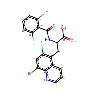 O=C(NC(Cc1c(F)cc(Br)c2ncccc12)C(=O)O)c1c(F)cccc1F